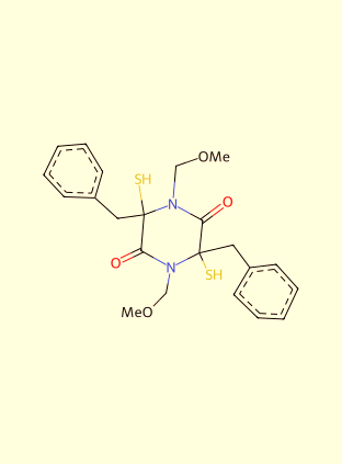 COCN1C(=O)C(S)(Cc2ccccc2)N(COC)C(=O)C1(S)Cc1ccccc1